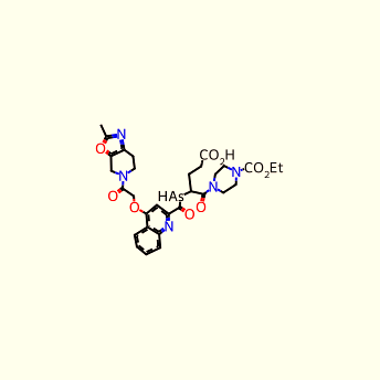 CCOC(=O)N1CCN(C(=O)C(CCC(=O)O)[AsH]C(=O)c2cc(OCC(=O)N3CCc4nc(C)oc4C3)c3ccccc3n2)CC1